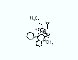 CCCC[C@H](O)[C@@H](CC1CC1)C(=O)C1(N)N=C(N2CCCCCC2)c2ccccc2N(C)C1=O